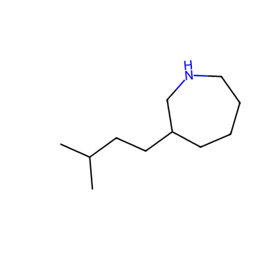 CC(C)CCC1CCCCNC1